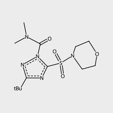 CN(C)C(=O)n1nc(C(C)(C)C)nc1S(=O)(=O)N1CCOCC1